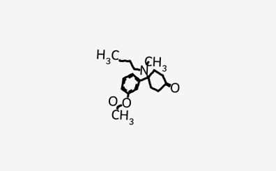 CCCCN(C)C1(c2cccc(OC(C)=O)c2)CCC(=O)CC1